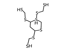 SCSC1CC(SCS)[SH](SCS)CS1